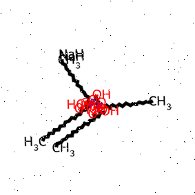 CCCCCCCCCCCCCCCC(=O)CC(CO)OP(=O)(C(=O)CCCCCCCCCCCCCCC)C(O)(CCO)P(=O)(OC(CO)CC(=O)CCCCCCCCCCCCCCC)C(=O)CCCCCCCCCCCCCCC.[NaH].[NaH]